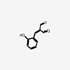 O=CC(C=O)=Cc1ccccc1O